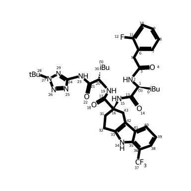 CCC(C)[C@H](NC(=O)Cc1ccccc1F)C(=O)N[C@]1(C(=O)NC(C(=O)Nc2nnn(C(C)(C)C)n2)[C@@H](C)CC)CCc2[nH]c3c(C(F)(F)F)cccc3c2C1